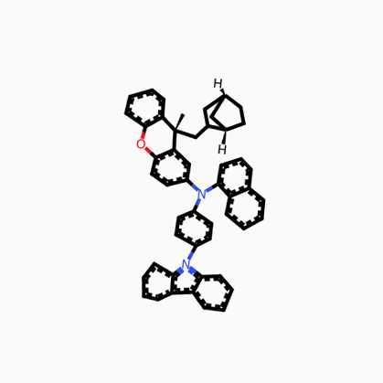 C[C@]1(CC2C[C@@H]3CC[C@H]2C3)c2ccccc2Oc2ccc(N(c3ccc(-n4c5ccccc5c5ccccc54)cc3)c3cccc4ccccc34)cc21